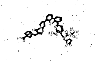 COc1nc(-c2cccc(-c3cccc(-c4ccn5c(=O)c(CN6CC7(C(=O)O)CCC6CC7)cnc5c4)c3Cl)c2Cl)ccc1CN(C[C@@H]1CCC(=O)N1)C(=O)OC(C)(C)C